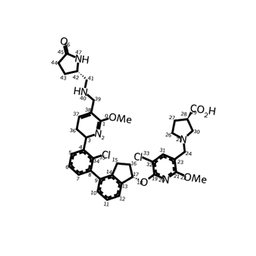 COC1=NC(c2cccc(-c3cccc4c3CC[C@@H]4Oc3nc(OC)c(CN4CC[C@@H](C(=O)O)C4)cc3Cl)c2Cl)CC=C1CNC[C@@H]1CCC(=O)N1